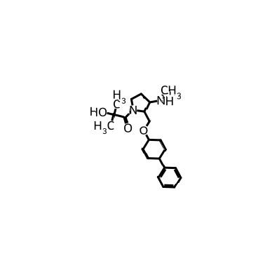 CNC1CCN(C(=O)C(C)(C)O)C1COC1CCC(c2ccccc2)CC1